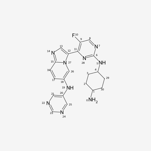 NC1CCC(Nc2ncc(F)c(-c3cnc4ccc(Nc5cncnc5)cn34)n2)CC1